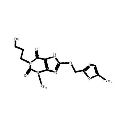 Cc1cnc(COc2nc3c([nH]2)c(=O)n(CCCO)c(=O)n3C)o1